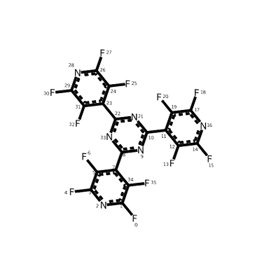 Fc1nc(F)c(F)c(-c2nc(-c3c(F)c(F)nc(F)c3F)nc(-c3c(F)c(F)nc(F)c3F)n2)c1F